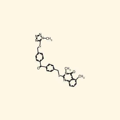 Cc1cccc2nc(SCc3ccc(C(=O)c4ccc(CSc5nnnn5C)cc4)cc3)n(C)c(=O)c12